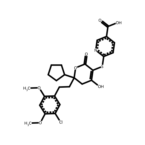 COc1cc(OC)c(CCC2(C3CCCC3)CC(O)=C(Sc3ccc(C(=O)O)cn3)C(=O)O2)cc1Cl